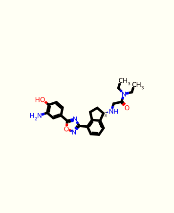 CCN(CC)C(=O)CN[C@H]1CCc2c(-c3noc(-c4ccc(O)c(N)c4)n3)cccc21